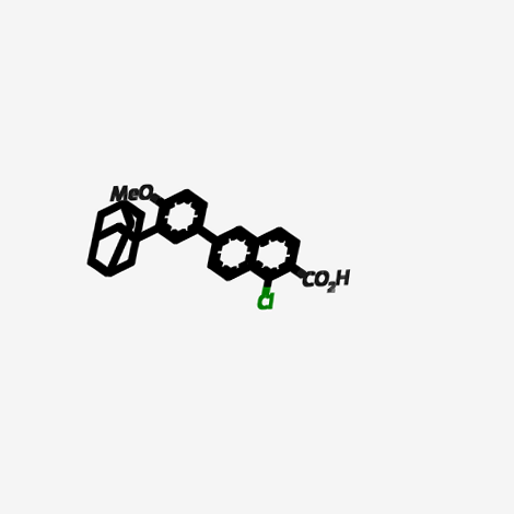 COc1ccc(-c2ccc3c(Cl)c(C(=O)O)ccc3c2)cc1C12CC3CC(CC(C3)C1)C2